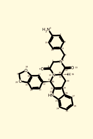 Nc1ccc(CN2CC(=O)N3[C@H](c4ccc5c(c4)OCO5)c4[nH]c5ccccc5c4C[C@@H]3C2=O)cc1